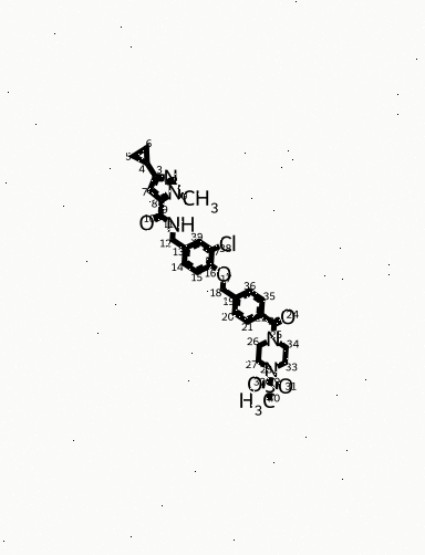 Cn1nc(C2CC2)cc1C(=O)NCc1ccc(OCc2ccc(C(=O)N3CCN(S(C)(=O)=O)CC3)cc2)c(Cl)c1